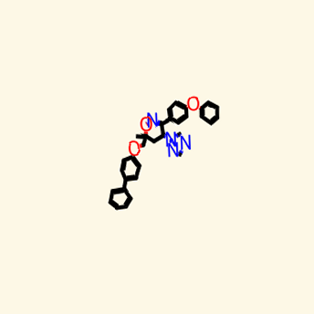 CC1(COc2ccc(-c3ccccc3)cc2)CC(n2cncn2)C(c2ccc(Oc3ccccc3)cc2)=NO1